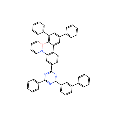 C1=CB2c3c(-c4ccccc4)cc(-c4ccccc4)cc3-c3ccc(-c4nc(-c5ccccc5)nc(-c5cccc(-c6ccccc6)c5)n4)cc3N2C=C1